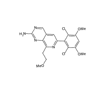 COCCc1nc(-c2c(Cl)c(OC)cc(OC)c2Cl)cc2cnc(N)nc12